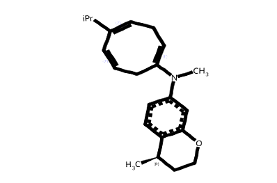 CC(C)C1=C/C/C=C(/N(C)c2ccc3c(c2)OCC[C@H]3C)C/C=C\1